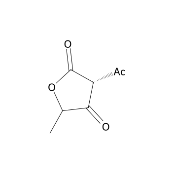 CC(=O)[C@H]1C(=O)OC(C)C1=O